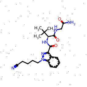 CC(C)(C)[C@H](NC(=O)c1nn(CCCCC#N)c2ccccc12)C(=O)NCC(N)=O